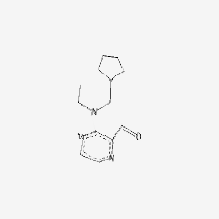 CCN(CC1CCCC1)c1nccnc1C=O